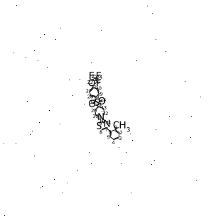 Cc1ccccc1-c1csc(N2CCC(S(=O)(=O)c3ccc(OC(F)(F)F)cc3)CC2)n1